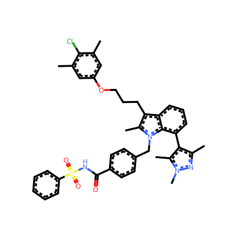 Cc1cc(OCCCc2c(C)n(Cc3ccc(C(=O)NS(=O)(=O)c4ccccc4)cc3)c3c(-c4c(C)nn(C)c4C)cccc23)cc(C)c1Cl